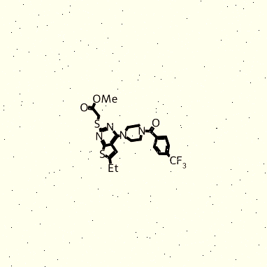 CCc1cc2c(N3CCN(C(=O)c4ccc(C(F)(F)F)cc4)CC3)nc(SCC(=O)OC)nc2s1